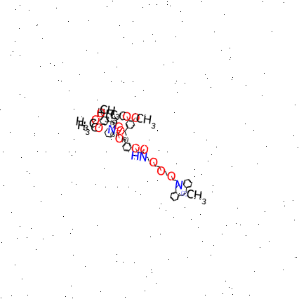 CC[C@H](C(=O)N1CCCC[C@H]1C(=O)O[C@H](CCc1ccc(OC)c(OC)c1)c1cccc(OCC(=O)NCCOCCOCCOCCN2Cc3ccccc3/C=C(/C)c3ccccc32)c1)c1cc(OC)c(OC)c(OC)c1